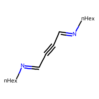 CCCCCCN=CC#CC=NCCCCCC